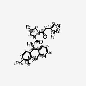 CC(C)c1ccc([C@@H](NC(=O)[C@@H]2C[C@@H](F)CN2C(=O)Cc2cnn[nH]2)c2cccnc2N)cc1F